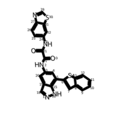 O=C(Nc1cc(-c2cc3ccccc3s2)c2[nH]ncc2c1)C(=O)Nc1ccc2ncsc2c1